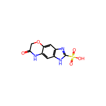 O=C1COc2cc3nc(S(=O)(=O)O)[nH]c3cc2N1